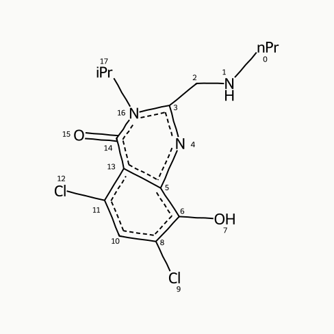 CCCNCc1nc2c(O)c(Cl)cc(Cl)c2c(=O)n1C(C)C